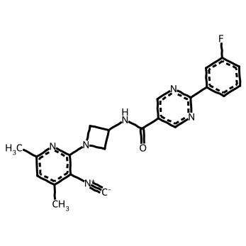 [C-]#[N+]c1c(C)cc(C)nc1N1CC(NC(=O)c2cnc(-c3cccc(F)c3)nc2)C1